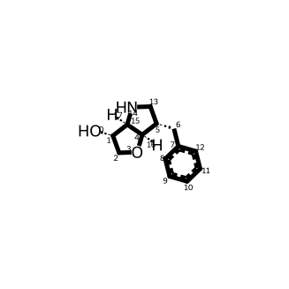 O[C@H]1CO[C@@H]2[C@@H](Cc3ccccc3)CN[C@@H]21